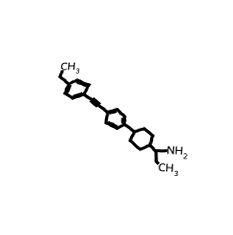 CCc1ccc(C#Cc2ccc(C3CCC(C(N)CC)CC3)cc2)cc1